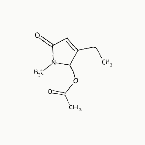 CCC1=CC(=O)N(C)C1OC(C)=O